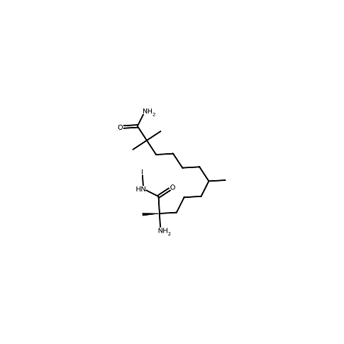 CC(CCCCC(C)(C)C(N)=O)CCC[C@](C)(N)C(=O)NI